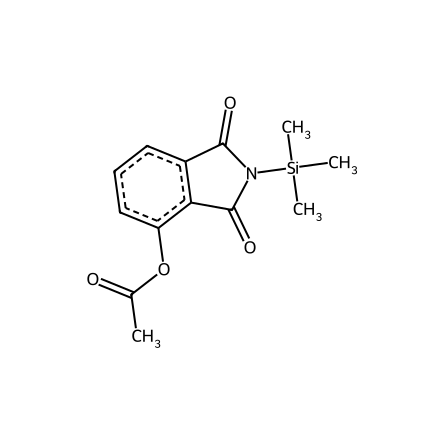 CC(=O)Oc1cccc2c1C(=O)N([Si](C)(C)C)C2=O